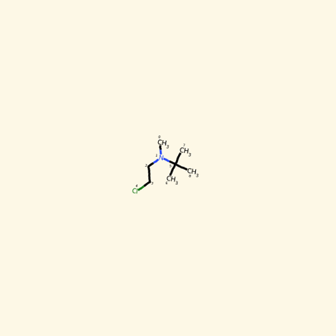 CN(CCCl)C(C)(C)C